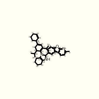 Cc1ccc2c(n1)oc1ccc(C3NC4=C(CCCC4)N3C3=C(C(C)C)C=C(C4C=CCCC4)CC3C(C)C)cc12